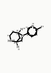 Fc1ccc(N2C[C@H]3C[C@@H]2CCN3)cn1